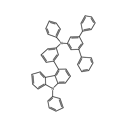 c1ccc(-c2cc(-c3ccccc3)cc(N(c3ccccc3)c3cccc(-c4cccc5c4c4ccccc4n5-c4ccccc4)c3)c2)cc1